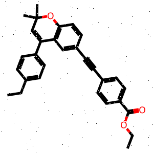 CCOC(=O)c1ccc(C#Cc2ccc3c(c2)C(c2ccc(CC)cc2)=CC(C)(C)O3)cc1